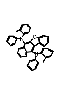 Cc1ccccc1N(c1ccccc1)c1c2ccccc2c(N(c2ccccc2)c2ccccc2C)c2c1oc1ccccc12